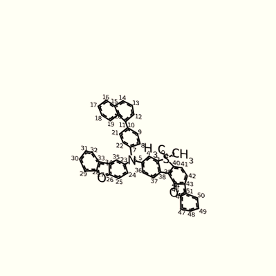 CS1(C)c2cc(N(c3ccc(-c4cccc5ccccc45)cc3)c3ccc4oc5ccccc5c4c3)ccc2-c2c1ccc1c2oc2ccccc21